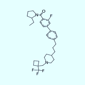 CCC1CCCN1C(=O)c1ccc(-c2ccc(CCCC3CCN(CC4(C(F)(F)F)CCC4)CC3)cc2)cc1F